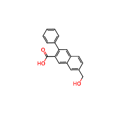 O=C(O)c1cc2cc(CO)ccc2cc1-c1ccccc1